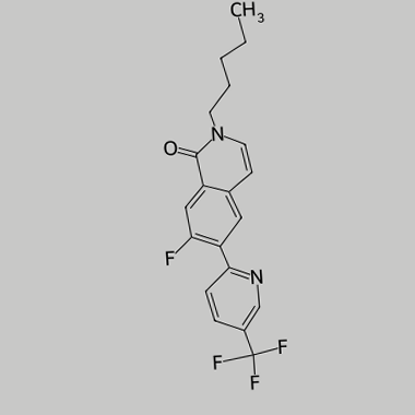 CCCCCn1ccc2cc(-c3ccc(C(F)(F)F)cn3)c(F)cc2c1=O